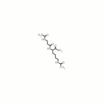 BC(=O)NCCC(=O)NC(CCCCNC(C)=O)C(N)=O